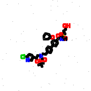 CC(C)(C)OC(=O)N(CCc1ccc(-c2ccc(C(=O)NS(=O)(=O)CCCO)c(OC3CCCCC3)c2)cc1)C[C@H](O)c1ccc(Cl)nc1